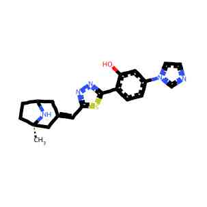 C[C@@]12CCC(C/C(=C\c3nnc(-c4ccc(-n5ccnc5)cc4O)s3)C1)N2